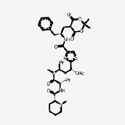 CC(=O)O[C@H](CC(C(C)C)N(C)C(=O)[C@@H](NC(=O)[C@H]1CCCCN1C)C(C)C)c1nc(C(=O)N[C@@H](Cc2ccccc2)CC2C(=O)OC(C)(C)OC2=O)cs1